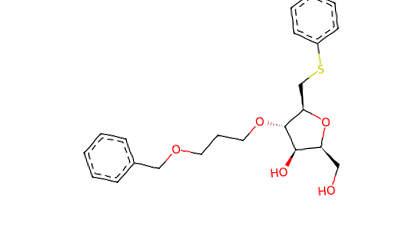 OC[C@@H]1O[C@H](CSc2ccccc2)[C@@H](OCCCOCc2ccccc2)[C@@H]1O